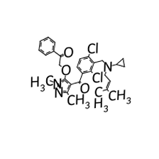 CC(C)=CCN(Cc1c(Cl)ccc(C(=O)c2c(C)nn(C)c2OCC(=O)c2ccccc2)c1Cl)C1CC1